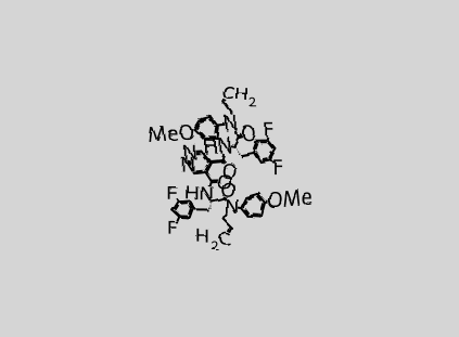 C=CCN(C(=O)[C@H](Cc1cc(F)cc(F)c1)NC(=O)c1cnncc1C(=O)N[C@@H](Cc1cc(F)cc(F)c1)C(=O)N(CC=C)c1ccc(OC)cc1)c1ccc(OC)cc1